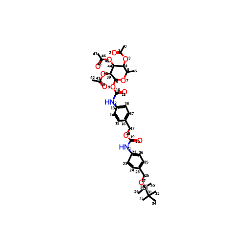 CC(=O)OC1C(C)OC(OC(=O)Nc2ccc(COC(=O)Nc3ccc(CO[Si](C)(C)C(C)(C)C)cc3)cc2)C(OC(C)=O)C1OC(C)=O